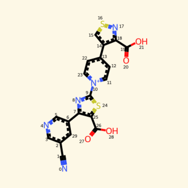 N#Cc1cncc(-c2nc(-[n+]3ccc(-c4csnc4C(=O)O)cc3)sc2C(=O)O)c1